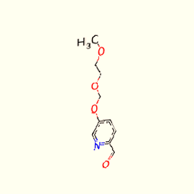 COCCOCOc1ccc(C=O)nc1